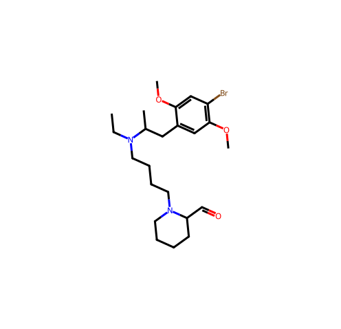 CCN(CCCCN1CCCCC1C=O)C(C)Cc1cc(OC)c(Br)cc1OC